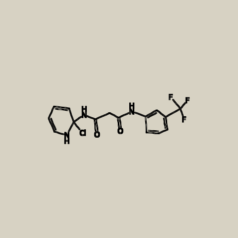 O=C(CC(=O)NC1(Cl)C=CC=CN1)Nc1cccc(C(F)(F)F)c1